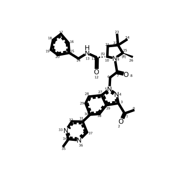 CC(=O)c1nn(CC(=O)N2[C@H](C(=O)NCc3ccccc3)CC(C)(C)[C@H]2C)c2ccc(-c3cnc(C)nc3)cc12